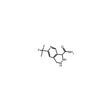 NC(=O)C1NNCc2cc(C(F)(F)F)ncc21